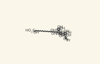 CCCC[C@@H](CCC[C@H](O)[C@@H](O)CCCCCCCCCCCCCC[C@@H](O)C(=O)O)O[C@H]1OC[C@H](O)[C@@H](O)[C@@H]1O[C@H]1OC[C@H](O)[C@@H](O)[C@@H]1O[C@H]1O[C@@H](COC(=O)CC(C)C)[C@H](O)[C@@H](O)[C@@H]1O